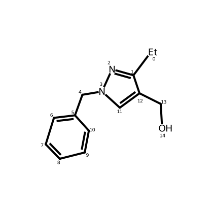 [CH2]Cc1nn(Cc2ccccc2)cc1CO